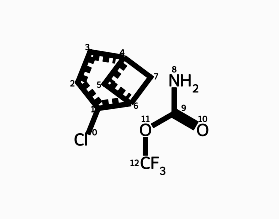 Clc1ccc2cc1C2.NC(=O)OC(F)(F)F